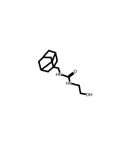 O=C(NCCO)NCC12CC3CC(CC(C3)C1)C2